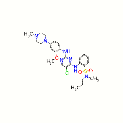 CCCN(C)S(=O)(=O)c1ccccc1Nc1nc(Nc2ccc(N3CCN(C)CC3)cc2OC)ncc1Cl